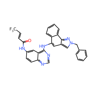 O=C(C=CC(F)(F)F)Nc1ccc2ncnc(Nc3cc4cn(Cc5ccccc5)nc4c4ccccc34)c2c1